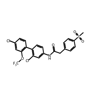 CS(=O)(=O)c1ccc(CC(=O)Nc2ccc(-c3ccc(Cl)cc3OC(F)(F)F)c(Cl)c2)cc1